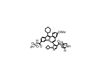 COc1ccc2c(c1)C=C(c1c(C(=O)N3C[C@@H]4C[C@H]3CN4)cnn1C1CCC1)Cn1c-2c(C2CCCCC2)c2ccc(C(=O)NS(=O)(=O)C(C)C)cc21